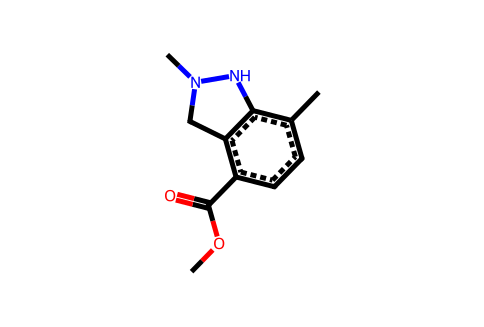 COC(=O)c1ccc(C)c2c1CN(C)N2